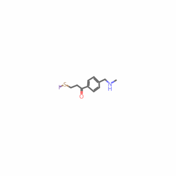 CNCc1ccc(C(=O)CCSI)cc1